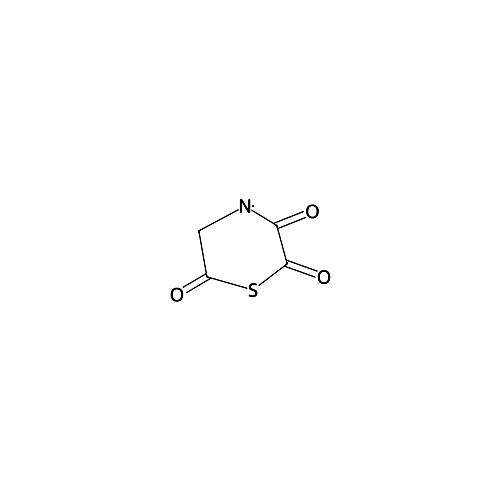 O=C1C[N]C(=O)C(=O)S1